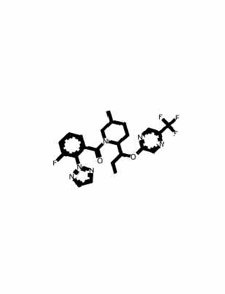 CCC(Oc1cnc(C(F)(F)F)cn1)C1CCC(C)CN1C(=O)c1cccc(F)c1-n1nccn1